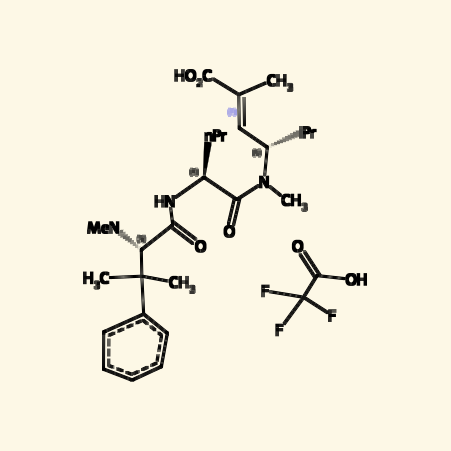 CCC[C@H](NC(=O)[C@@H](NC)C(C)(C)c1ccccc1)C(=O)N(C)[C@H](/C=C(\C)C(=O)O)C(C)C.O=C(O)C(F)(F)F